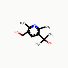 Cc1nc(C)c(C(C)(C)O)cc1CO